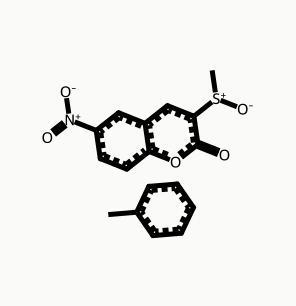 C[S+]([O-])c1cc2cc([N+](=O)[O-])ccc2oc1=O.Cc1ccccc1